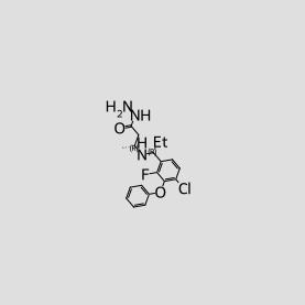 CC[C@@H](N[C@H](C)CC(=O)NN)c1ccc(Cl)c(Oc2ccccc2)c1F